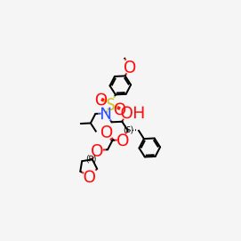 COc1ccc(S(=O)(=O)N(CC(C)C)CC(O)[C@H](Cc2ccccc2)OC(=O)CO[C@@H]2CCOC2)cc1